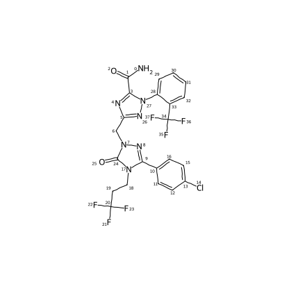 NC(=O)c1nc(Cn2nc(-c3ccc(Cl)cc3)n(CCC(F)(F)F)c2=O)nn1-c1ccccc1C(F)(F)F